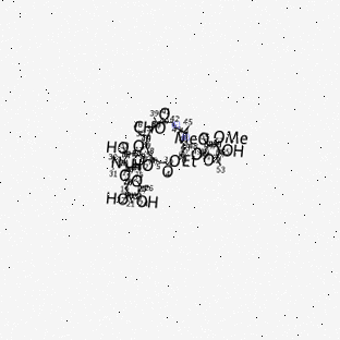 CC[C@H]1OC(=O)C[C@@H](O)[C@H](C)[C@@H](O[C@@H]2O[C@H](C)[C@@H](O[C@H]3C[C@@](C)(O)[C@@H](O)[C@H](C)O3)[C@H](N(C)C)[C@H]2O)[C@@H](CC=O)C[C@@H](C)C(=O)/C=C/C(C)=C/[C@@H]1CO[C@@H]1O[C@H](C)[C@@H](O)[C@@H](OC)[C@@H]1OC